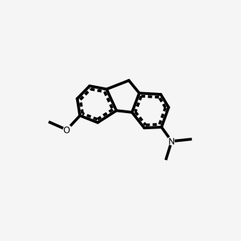 COc1ccc2c(c1)-c1cc(N(C)C)ccc1C2